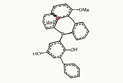 COc1cccc(OC)c1-c1ccccc1P(c1ccccc1)c1cc(O)cc(-c2ccccc2)c1O